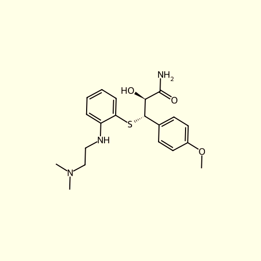 COc1ccc([C@H](Sc2ccccc2NCCN(C)C)[C@@H](O)C(N)=O)cc1